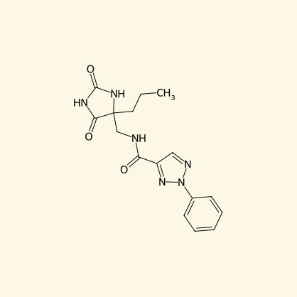 CCCC1(CNC(=O)c2cnn(-c3ccccc3)n2)NC(=O)NC1=O